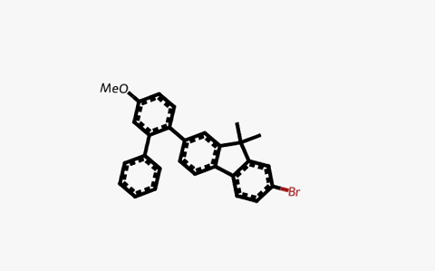 COc1ccc(-c2ccc3c(c2)C(C)(C)c2cc(Br)ccc2-3)c(-c2ccccc2)c1